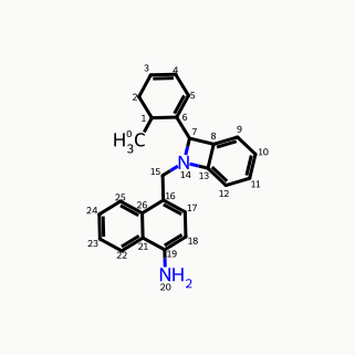 CC1CC=CC=C1C1c2ccccc2N1Cc1ccc(N)c2ccccc12